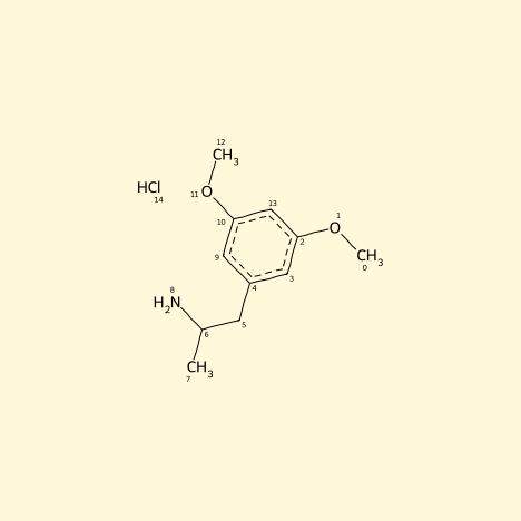 COc1cc(CC(C)N)cc(OC)c1.Cl